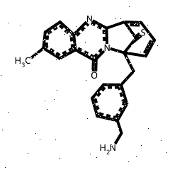 Cc1ccc2nc3n(c(=O)c2c1)C1(Cc2cccc(CN)c2)C=CC=C3C1=S